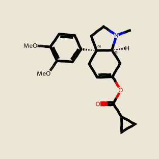 COc1ccc([C@@]23CC=C(OC(=O)C4CC4)C[C@@H]2N(C)CC3)cc1OC